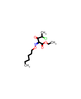 CCCCCCON=C(C(=O)OCC)C(=O)C(C)Cl